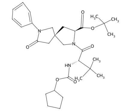 CC(C)(C)OC(=O)[C@@H]1C[C@]2(CC(=O)N(c3ccccc3)C2)CN1C(=O)[C@@H](NC(=O)OC1CCCC1)C(C)(C)C